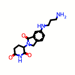 NCCCNc1ccc2c(c1)C(=O)N(C1CCC(=O)NC1=O)C2